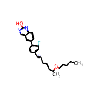 CCCCCOC(C)CCC/C=C/c1ccc(-c2ccc3nc(O)ncc3c2)c(F)c1